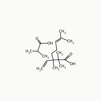 C=CC(C)(CCC=C(C)C)C(C)(C)C(=O)O.CC(C)C(=O)O